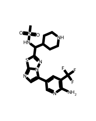 CS(=O)(=O)NC(c1nn2c(-c3cnc(N)c(C(F)(F)F)c3)cnc2s1)C1CCNCC1